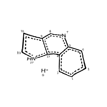 [H+].c1ccc2c(c1)ncc1cc[nH]c12